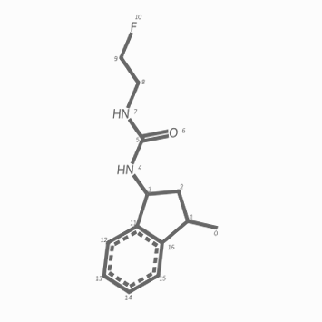 CC1CC(NC(=O)NCCF)c2ccccc21